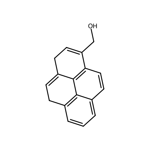 OCC1=CCC2=CCc3cccc4ccc1c2c34